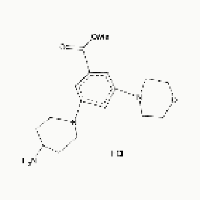 COC(=O)c1cc(N2CCOCC2)cc(N2CCC(N)CC2)c1.Cl